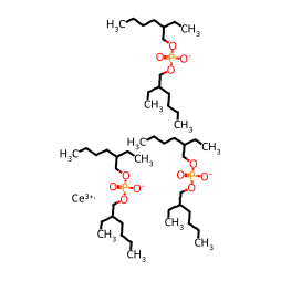 CCCCC(CC)COP(=O)([O-])OCC(CC)CCCC.CCCCC(CC)COP(=O)([O-])OCC(CC)CCCC.CCCCC(CC)COP(=O)([O-])OCC(CC)CCCC.[Ce+3]